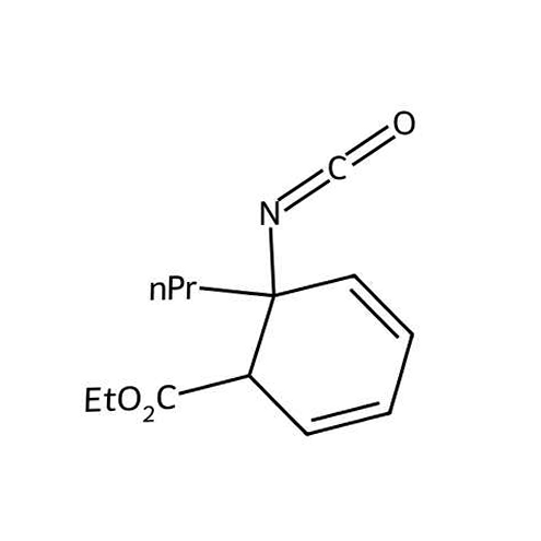 CCCC1(N=C=O)C=CC=CC1C(=O)OCC